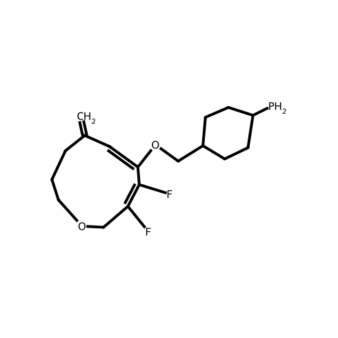 C=C1/C=C(OCC2CCC(P)CC2)\C(F)=C(\F)COCCC1